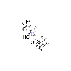 CCC(C)(CC(C)(F)F)/C(O)=C/C(=O)C12CC3CC(CC(C3)C1)C2